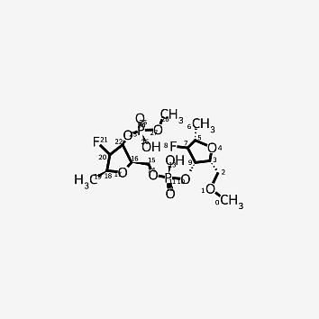 COC[C@H]1O[C@@H](C)C(F)[C@H]1O[P@@](=O)(O)OC[C@H]1O[C@@H](C)C(F)[C@H]1O[P@@](=O)(O)OC